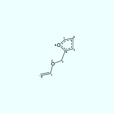 [CH]=COCc1ccco1